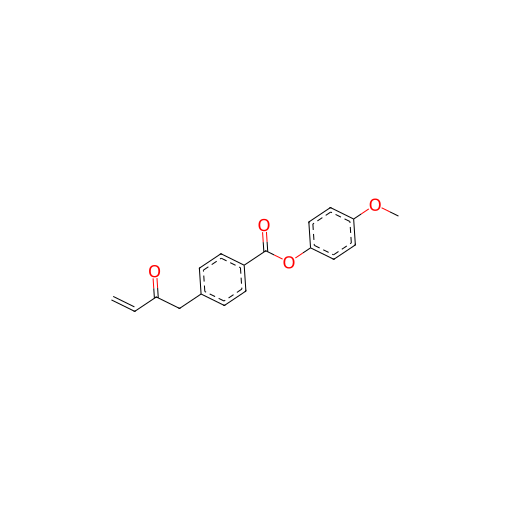 C=CC(=O)Cc1ccc(C(=O)Oc2ccc(OC)cc2)cc1